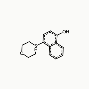 Oc1ccc([SH]2CCOCC2)c2ccccc12